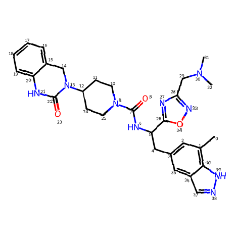 Cc1cc(CC(NC(=O)N2CCC(N3Cc4ccccc4NC3=O)CC2)c2nc(CN(C)C)no2)cc2cn[nH]c12